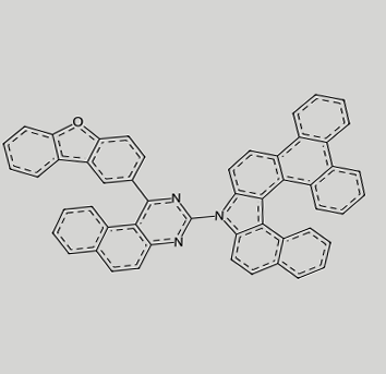 c1ccc2c(c1)ccc1nc(-n3c4ccc5ccccc5c4c4c5c6ccccc6c6ccccc6c5ccc43)nc(-c3ccc4oc5ccccc5c4c3)c12